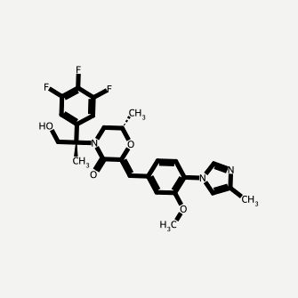 COc1cc(/C=C2\O[C@@H](C)CN([C@](C)(CO)c3cc(F)c(F)c(F)c3)C2=O)ccc1-n1cnc(C)c1